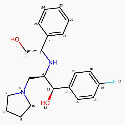 OC[C@@H](N[C@H](CN1CCCC1)[C@H](O)c1ccc(F)cc1)c1ccccc1